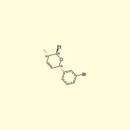 CC[C@H]1O[C@H](c2cccc(Br)c2)C=C[C@@H]1C